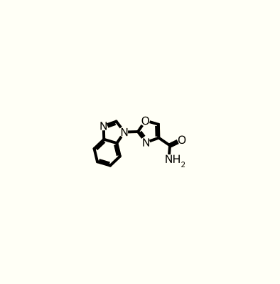 NC(=O)c1coc(-n2cnc3ccccc32)n1